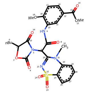 CCCCC1OC(=O)N(C(C(=O)Nc2cc(C(=O)OC)ccc2OC)C2=NS(=O)(=O)c3ccccc3N2C)C1=O